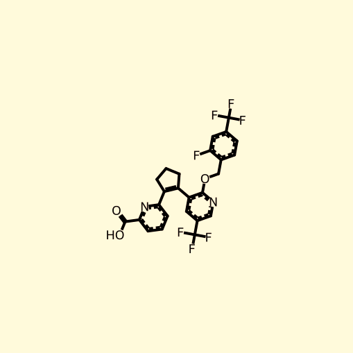 O=C(O)c1cccc(C2=C(c3cc(C(F)(F)F)cnc3OCc3ccc(C(F)(F)F)cc3F)CCC2)n1